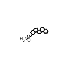 NC(=O)OCC1CCC2CCC3C(=C2C1)C=CC1=C2C=CCCC2CCC13